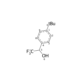 CC(C)(C)c1ccc(C(O)C(F)(F)F)cc1